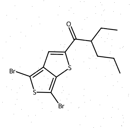 CCCC(CC)C(=O)c1cc2c(Br)sc(Br)c2s1